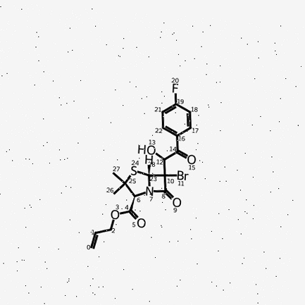 C=CCOC(=O)[C@@H]1N2C(=O)C(Br)(C(O)C(=O)c3ccc(F)cc3)[C@H]2SC1(C)C